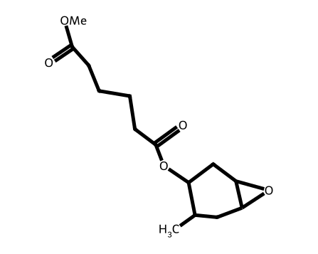 COC(=O)CCCCC(=O)OC1CC2OC2CC1C